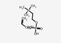 C=CC(=O)OCC.C[N+](C)(C)CCOP(=O)(O)O